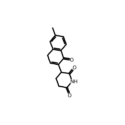 Cc1ccc2c(c1)CC=C(C1CCC(=O)NC1=O)C2=O